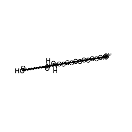 [N-]=[N+]=NCCOCCOCCOCCOCCOCCOCCOCCOCCOCCOCCOCCNC(=O)CCCNC(=O)CCCCCCCCCCCCCCCCC(=O)O